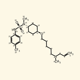 C=CCN(C)CCCCCO[C@H]1CC[C@H](N(C)S(=O)(=O)Nc2ccc(C(F)(F)F)cc2)CC1